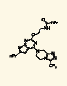 CCCC(=O)NCCOc1nc(N2CCn3c(nnc3C(F)(F)F)C2)c2cc(CCC)sc2n1